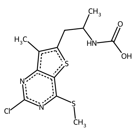 CSc1nc(Cl)nc2c(C)c(CC(C)NC(=O)O)sc12